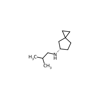 CC(C)CN[C@H]1CCC2(CC2)C1